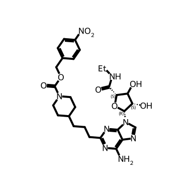 CCNC(=O)[C@H]1O[C@@H](n2cnc3c(N)nc(CCCC4CCN(C(=O)OCc5ccc([N+](=O)[O-])cc5)CC4)nc32)[C@@H](O)C1O